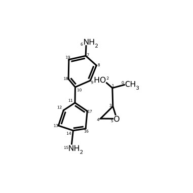 CC(O)C1CO1.Nc1ccc(-c2ccc(N)cc2)cc1